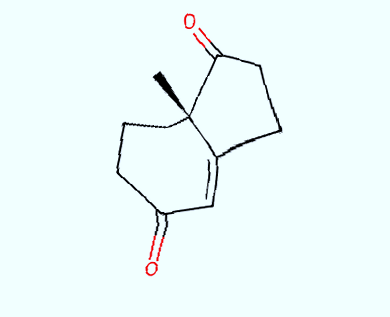 C[C@]12CCC(=O)C=C1CCC2=O